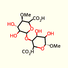 CO[C@@H]1OC(C(=O)O)[C@@H](O[C@@H]2OC(C(=O)O)[C@H](OC)[C@@H](O)C2O)[C@@H](O)C1O